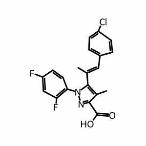 CC(=Cc1ccc(Cl)cc1)c1c(C)c(C(=O)O)nn1-c1ccc(F)cc1F